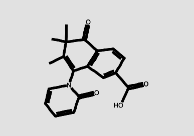 CC1=C(n2ccccc2=O)c2cc(C(=O)O)ccc2C(=O)C1(C)C